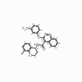 Cc1cccc2c1OCC[C@@H]2NC(=O)c1c(Oc2cccc(C(F)(F)F)c2)nnc2ccccc12